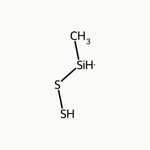 C[SiH]SS